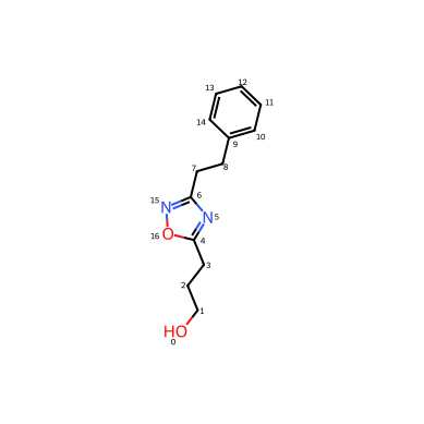 OCCCc1nc(CCc2ccccc2)no1